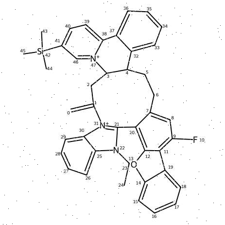 C=C1CC2C(CCc3cc(F)c4c(oc5ccccc54)c3-c3n(CC)c4ccccc4[n+]31)c1ccccc1-c1ccc([Si](C)(C)C)c[n+]12